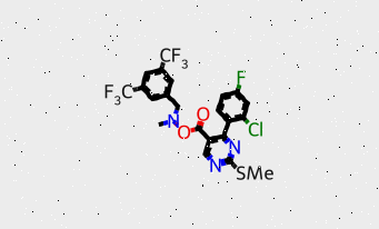 CSc1ncc(C(=O)ON(C)Cc2cc(C(F)(F)F)cc(C(F)(F)F)c2)c(-c2ccc(F)cc2Cl)n1